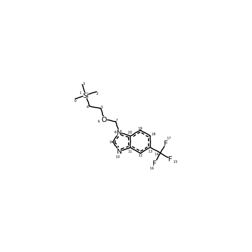 C[Si](C)(C)CCOCn1cnc2cc(C(F)(F)F)ccc21